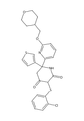 O=C1CC(c2ccsc2)(c2cccc(OCC3CCOCC3)n2)NC(=O)C1Sc1ccccc1Cl